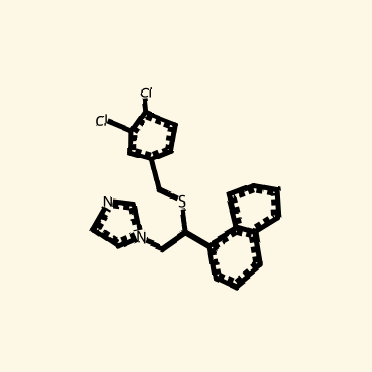 Clc1ccc(CSC(Cn2ccnc2)c2cccc3ccccc23)cc1Cl